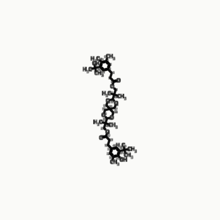 Cc1cc(CCC(=O)OCC(C)(C)C2OCC3(CO2)COC(C(C)(C)COC(=O)CCc2cc(C)c(O)c(C(C)(C)C)c2)OC3)cc(C(C)(C)C)c1C